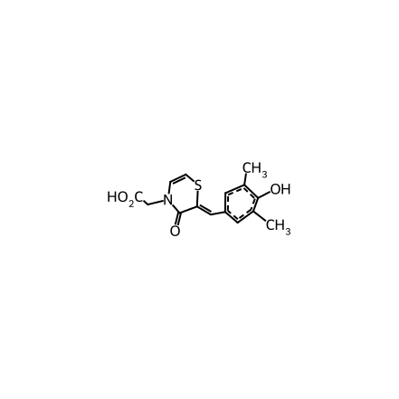 Cc1cc(C=C2SC=CN(CC(=O)O)C2=O)cc(C)c1O